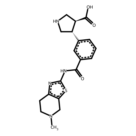 CN1CCc2nc(NC(=O)c3cccc([C@@H]4CNC[C@H]4C(=O)O)c3)sc2C1